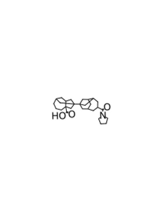 O=C(C1CC2CC3CC(C45CC6CCCC(C(=O)O)(C4)C(C6)C5)(C2)CC3C1)N1CCCC1